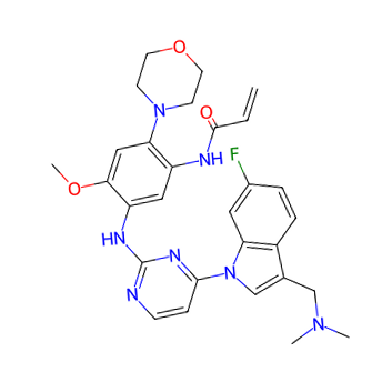 C=CC(=O)Nc1cc(Nc2nccc(-n3cc(CN(C)C)c4ccc(F)cc43)n2)c(OC)cc1N1CCOCC1